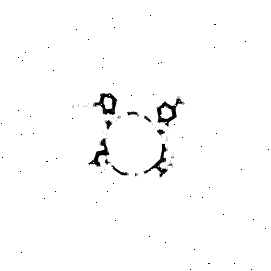 CCn1nc(C)c2c1C(=O)Nc1nc3cc(C(N)=O)ccc3n1CCCCn1c(nc3c(NC)cccc31)NC(=O)c1cc(C)nn1CCCCC2